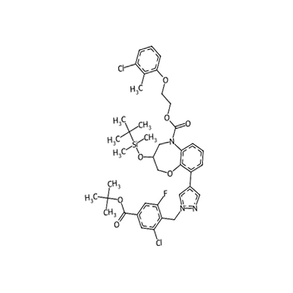 Cc1c(Cl)cccc1OCCOC(=O)N1CC(O[Si](C)(C)C(C)(C)C)COc2c(-c3cnn(Cc4c(F)cc(C(=O)OC(C)(C)C)cc4Cl)c3)cccc21